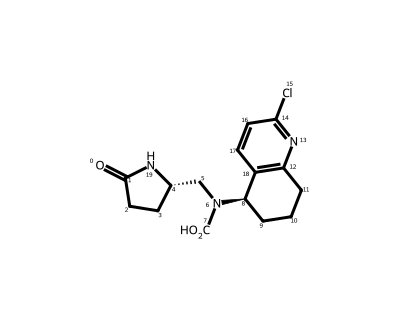 O=C1CC[C@@H](CN(C(=O)O)[C@@H]2CCCc3nc(Cl)ccc32)N1